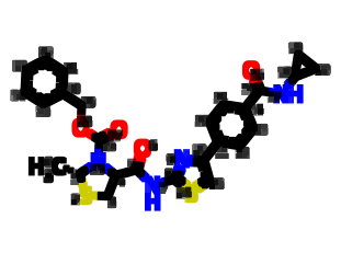 C[C@H]1SCC(C(=O)Nc2nc(-c3ccc(C(=O)NC4CC4)cc3)cs2)N1C(=O)OCc1ccccc1